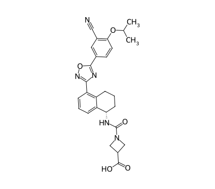 CC(C)Oc1ccc(-c2nc(-c3cccc4c3CCC[C@@H]4NC(=O)N3CC(C(=O)O)C3)no2)cc1C#N